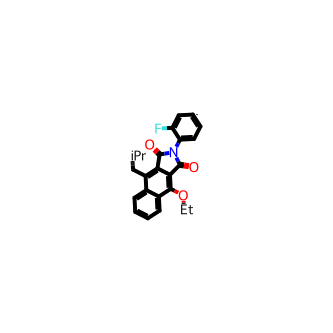 CCOc1c2c(c(CC(C)C)c3ccccc13)C(=O)N(c1cc[c]cc1F)C2=O